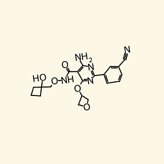 N#Cc1cccc(-c2nc(N)c(C(=O)NOCC3(O)CCC3)c(OC3COC3)n2)c1